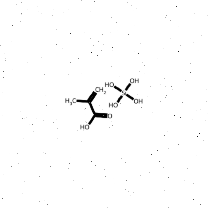 C=C(C)C(=O)O.O[Si](O)(O)O